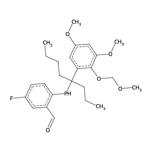 CCCCC(CCC)(Pc1ccc(F)cc1C=O)c1cc(OC)cc(OC)c1OCOC